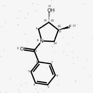 O=C(c1ccccc1)N1C[C@H](O)[C@@H](F)C1